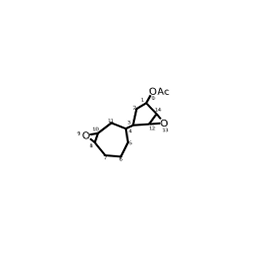 CC(=O)OC1CC(C2CCCC3OC3C2)C2OC12